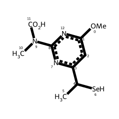 COc1cc(C(C)[SeH])nc(N(C)C(=O)O)n1